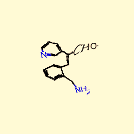 NCc1ccccc1C=C([C]=O)c1cccnc1